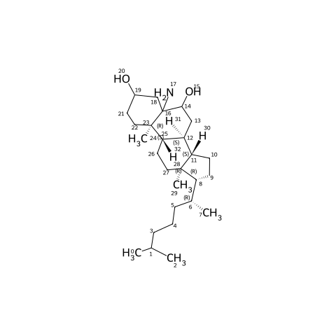 CC(C)CCC[C@@H](C)[C@H]1CC[C@H]2[C@@H]3CC(O)C4(N)CC(O)CC[C@]4(C)[C@H]3CC[C@]12C